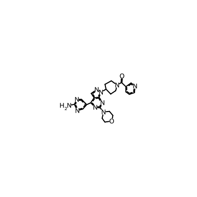 Nc1ncc(-c2nc(N3CCOCC3)nc3c2cnn3C2CCN(C(=O)c3cccnc3)CC2)cn1